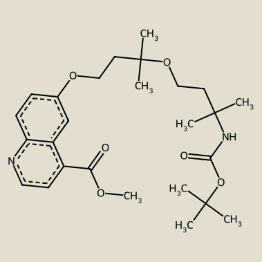 COC(=O)c1ccnc2ccc(OCCC(C)(C)OCCC(C)(C)NC(=O)OC(C)(C)C)cc12